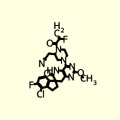 C=C(F)C(=O)N1CCN(c2nc(OC)nc3c2NC(=O)C2(CCc4c2ccc(F)c4Cl)C3)CC1CC#N